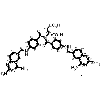 Nc1nc(N)c2cc(CNc3ccc(C(=O)N(C(=O)c4ccc(NCc5ccc6nc(N)nc(N)c6c5)cc4)[C@@H](CC(=O)O)C(=O)O)cc3)ccc2n1